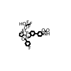 CCN1CCC[C@@H]1CN(Cc1cc(-c2ccc3[nH]c(=O)oc3c2)ccc1F)C(=O)c1ccc(F)cc1.O=C(O)C(F)(F)F